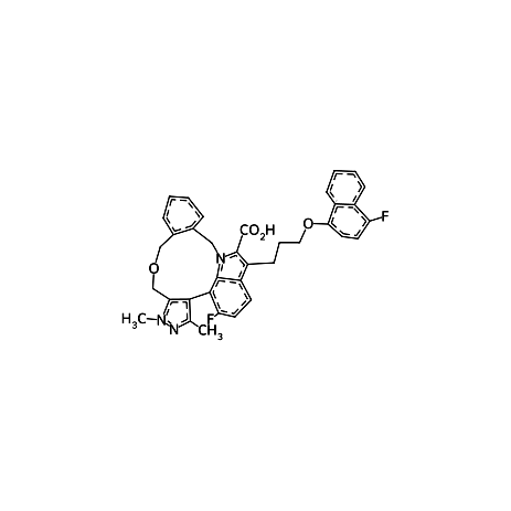 Cc1nn(C)c2c1-c1c(F)ccc3c(CCCOc4ccc(F)c5ccccc45)c(C(=O)O)n(c13)Cc1ccccc1COC2